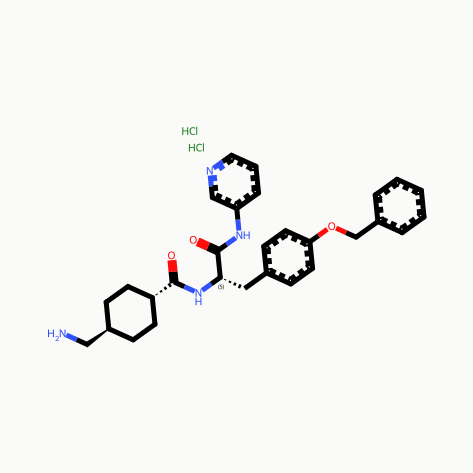 Cl.Cl.NC[C@H]1CC[C@H](C(=O)N[C@@H](Cc2ccc(OCc3ccccc3)cc2)C(=O)Nc2cccnc2)CC1